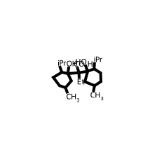 CCC(C(=O)O)(C1(O)CC(C)CCC1C(C)C)C1(O)CC(C)CCC1C(C)C